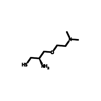 CN(C)CCOC[C@@H](N)CS